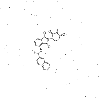 O=C1CCC(N2C(=O)c3cccc(OC(I)c4ccc5ccccc5c4)c3C2=O)C(=O)N1